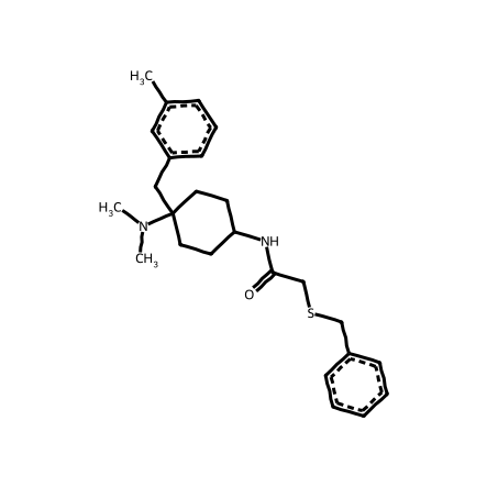 Cc1cccc(CC2(N(C)C)CCC(NC(=O)CSCc3ccccc3)CC2)c1